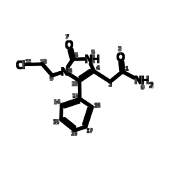 NC(=O)Cc1[nH]c(=O)n(CCCl)c1-c1ccccc1